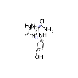 C=C(N)/N=C(N[C@H]1C=C[C@@H](CO)C1)\C(N)=C(/N)Cl